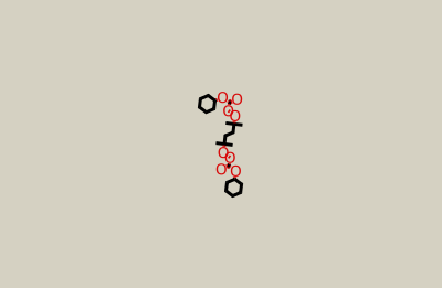 CC(C)(CCC(C)(C)OOC(=O)OC1CCCCC1)OOC(=O)OC1CCCCC1